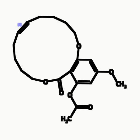 COc1cc2c(c(OC(C)=O)c1)C(=O)OCCCC/C=C\CCCCO2